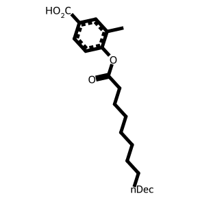 CCCCCCCCCCCCCCCCCC(=O)Oc1ccc(C(=O)O)cc1C